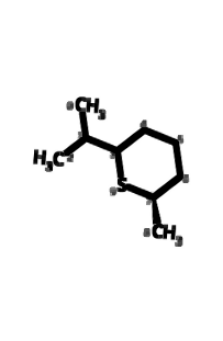 CC(C)C1CCC[C@@H](C)S1